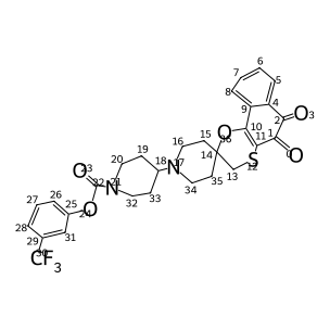 O=C1C(=O)c2ccccc2C2=C1SCC1(CCN(C3CCN(C(=O)Oc4cccc(C(F)(F)F)c4)CC3)CC1)O2